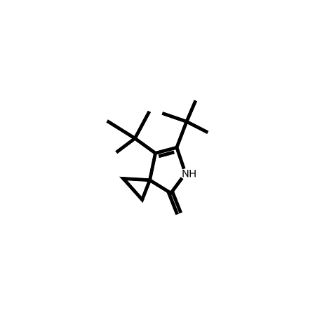 C=C1NC(C(C)(C)C)=C(C(C)(C)C)C12CC2